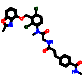 CNC(=O)c1ccc(/C=C/C(=O)NCC(=O)N(C)c2ccc(Cl)c(COc3cccc4oc(C)nc34)c2Cl)cc1